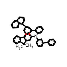 CC1(C)c2ccccc2-c2ccc(N(c3cccc(-c4ccccc4)c3)c3ccccc3-c3cccc(-c4cccc5ccccc45)c3)cc21